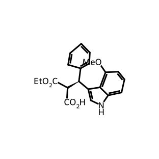 CCOC(=O)C(C(=O)O)[C@@H](c1ccccc1)c1c[nH]c2cccc(OC)c12